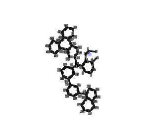 C/C=C\c1c(C)cccc1N(c1cccc(-c2cccc(-c3cccc4ccccc34)c2)c1)c1ccc2c3ccccc3c3ccccc3c2c1